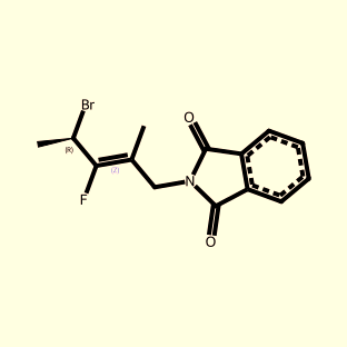 C/C(CN1C(=O)c2ccccc2C1=O)=C(/F)[C@@H](C)Br